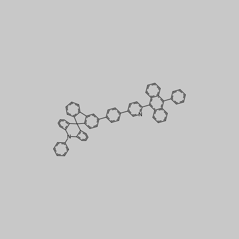 c1ccc(-c2c3ccccc3c(-c3ccc(-c4ccc(-c5ccc6c(c5)-c5ccccc5C65c6ccccc6N(c6ccccc6)c6ccccc65)cc4)cn3)c3ccccc23)cc1